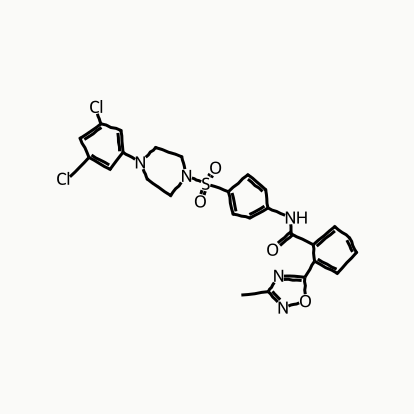 Cc1noc(-c2ccccc2C(=O)Nc2ccc(S(=O)(=O)N3CCN(c4cc(Cl)cc(Cl)c4)CC3)cc2)n1